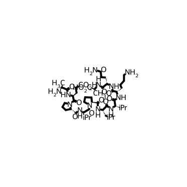 CC(C)C[C@H](NC(=O)[C@@H]1CCCN1C(=O)[C@@H](NC(=O)[C@@H]1CCCN1C(=O)[C@H](CCC(=O)O)NC(=O)[C@H](C)N)C(C)C)C(=O)N[C@H](C(=O)N[C@@H](CCCCN)C(=O)N[C@@H](CCC(N)=O)C(=O)N[C@@H](C)C(=O)O)C(C)C